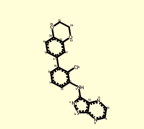 Clc1c(Nc2nsc3nccnc23)cccc1-c1ccc2c(c1)OCCO2